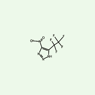 O=[N+]([O-])c1nn[nH]c1C(F)(F)C(F)(F)F